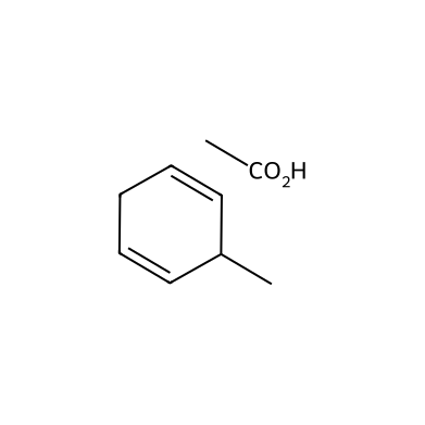 CC(=O)O.CC1C=CCC=C1